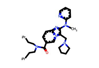 CC(C)CCN(CCC(C)C)C(=O)c1ccc2nc(N(C)c3ccccn3)c(CN3CCCC3)n2c1